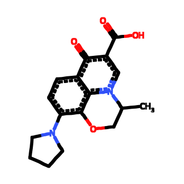 CC1COc2c(N3CCCC3)ccc3c(=O)c(C(=O)O)cn1c23